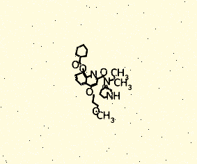 COCCCOc1cc(C(=O)N(C(C)C)[C@@H]2CCCNC2)nc2c(OC(=O)C3CCCCC3)cccc12